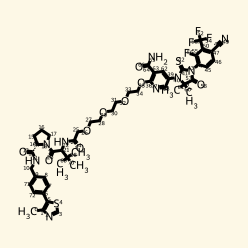 Cc1ncsc1-c1ccc(CNC(=O)[C@@H]2CCCN2C(=O)C(NC(=O)COCCOCCOCCOc2ncc(N3C(=S)N(c4ccc(C#N)c(C(F)(F)F)c4F)C(=O)C3(C)C)cc2C(N)=O)C(C)(C)C)cc1